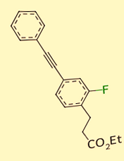 CCOC(=O)CCc1ccc(C#Cc2ccccc2)cc1F